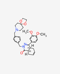 COc1ccc(C2=NN(Cc3ccc(CN4CCC5(CC4)OCCO5)cc3)C(=O)[C@@H]3CC=CC[C@H]23)cc1OC